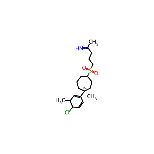 CC(=N)CCCS(=O)(=O)C1CCC[C@](C)(C2=CC(C)C(Cl)C=C2)CC1